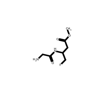 COC(=O)CC(CF)NC(=O)CN